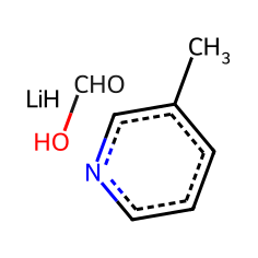 Cc1cccnc1.O=CO.[LiH]